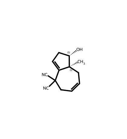 C[C@]12CC=CCC(C#N)(C#N)C1=CC[C@@H]2O